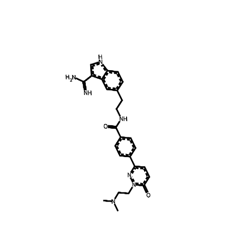 CN(C)CCn1nc(-c2ccc(C(=O)NCCc3ccc4[nH]cc(C(=N)N)c4c3)cc2)ccc1=O